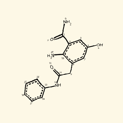 NC(=O)c1cc(O)cc(CC(=O)Nc2ccccc2)c1N